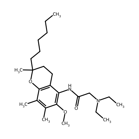 CCCCCCC1(C)CCc2c(NC(=O)CN(CC)CC)c(OC)c(C)c(C)c2O1